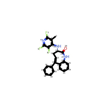 Cc1c(F)nc(F)c(F)c1N[C@H]1C/C=C(\c2ccccc2)c2ccccc2NC1=O